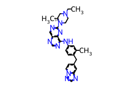 CCN1CCN(c2ncc3ncnc(Nc4ccc(Cc5ccn6ncnc6c5)c(C)c4)c3n2)[C@@H](C)C1